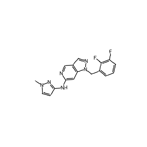 Cn1ccc(Nc2cc3c(cn2)cnn3Cc2cccc(F)c2F)n1